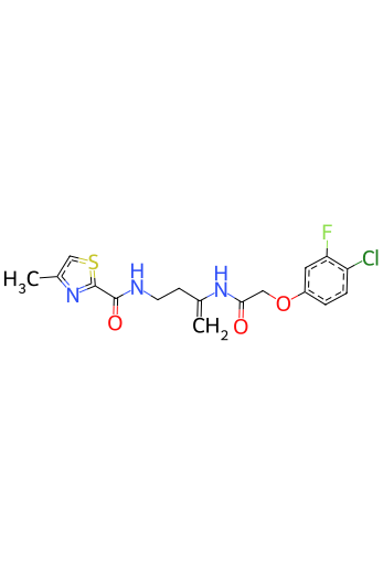 C=C(CCNC(=O)c1nc(C)cs1)NC(=O)COc1ccc(Cl)c(F)c1